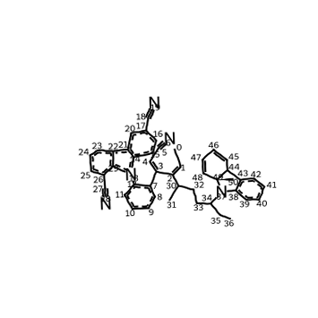 C/C=C(\C(=C/C#N)c1ccccc1-n1c2ccc(C#N)cc2c2cccc(C#N)c21)C(C)CCC(CC)N1c2ccccc2C2C=CC=C[C@]21C